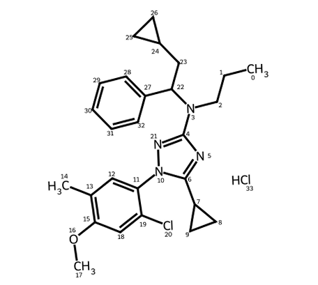 CCCN(c1nc(C2CC2)n(-c2cc(C)c(OC)cc2Cl)n1)C(CC1CC1)c1ccccc1.Cl